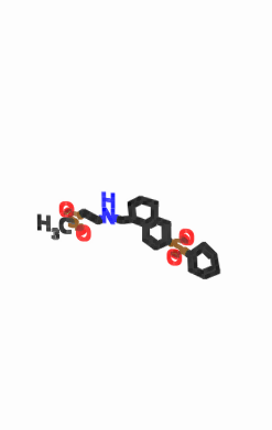 CS(=O)(=O)CCNCC1CCCc2cc(S(=O)(=O)c3ccccc3)ccc21